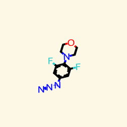 [N-]=[N+]=Nc1cc(F)c(N2CCOCC2)c(F)c1